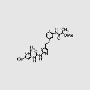 COC(C)C(=O)Nc1cc(CCc2cnc(NC(=O)Nc3cc(C(C)(C)C)nn3C)s2)ccn1